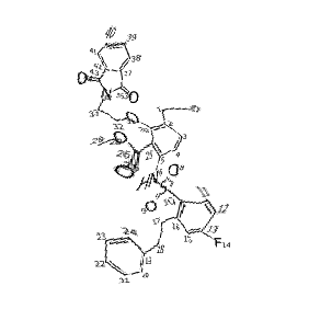 CCc1ccc(NS(=O)(=O)c2ccc(F)cc2CCc2ccccc2)c(C(=O)OC)c1OCCN1C(=O)c2ccccc2C1=O